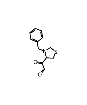 O=CC(=O)C1CSCN1Cc1ccccc1